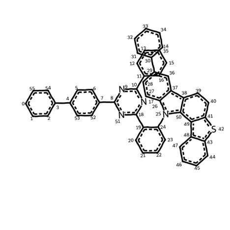 c1ccc(-c2ccc(-c3nc(-c4ccccc4)nc(-c4ccccc4-n4c5ccc(-c6ccccc6)cc5c5ccc6sc7ccccc7c6c54)n3)cc2)cc1